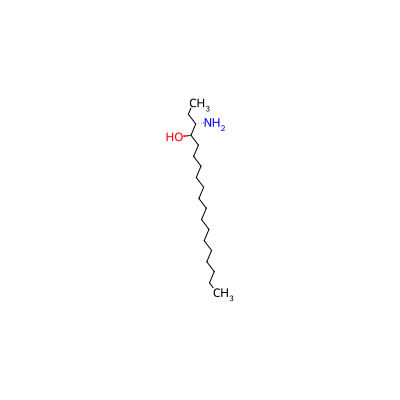 CCCCCCCCCCCCCCC[C@@H](O)[C@@H](N)CC